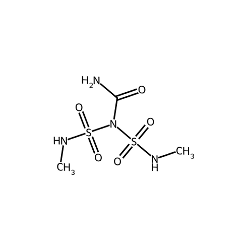 CNS(=O)(=O)N(C(N)=O)S(=O)(=O)NC